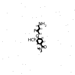 CN(C)C(=O)c1ccc(OCC(F)=CCN)cc1.Cl